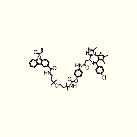 C=CC(=O)n1c2ccccc2c2cc(C(=O)NCCC(C)(C)OCCC(C)(C)NC(=O)Oc3ccc(NC(=O)C[C@@H]4N=C(c5ccc(Cl)cc5)c5c(sc(C)c5C)-n5c(C)nnc54)cc3)ccc21